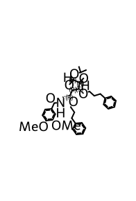 COc1ccc(C(=O)NC[C@@H](OCCCc2ccccc2)[C@H]2O[C@@H]3OC(C)(C)O[C@@H]3[C@H]2OCCCc2ccccc2)cc1OC